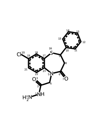 NNC(=O)CN1C(=O)CC(c2ccccc2)Sc2cc(Cl)ccc21